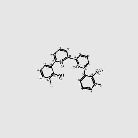 Cc1cccc(-c2cccc(-c3cccc(-c4cccc(C)c4O)n3)n2)c1O